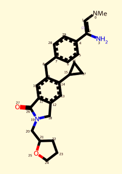 CN/C=C(\N)c1ccc(Cc2cc3c(cc2C2CC2)CN(CC2CCCO2)C3=O)cc1